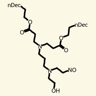 CCCCCCCCCCCCOC(=O)CCN(CCCN(CCO)CCN=O)CCC(=O)OCCCCCCCCCCCC